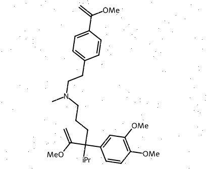 C=C(OC)c1ccc(CCN(C)CCCC(C(=C)OC)(c2ccc(OC)c(OC)c2)C(C)C)cc1